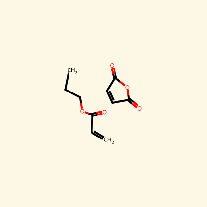 C=CC(=O)OCCC.O=C1C=CC(=O)O1